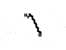 BCCCCCCCCC=O